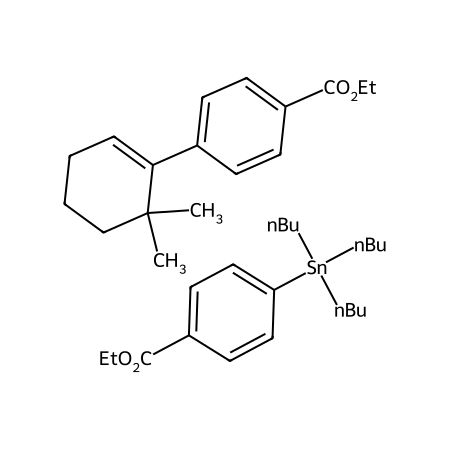 CCC[CH2][Sn]([CH2]CCC)([CH2]CCC)[c]1ccc(C(=O)OCC)cc1.CCOC(=O)c1ccc(C2=CCCCC2(C)C)cc1